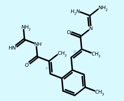 C/C(=C\c1cc(C)ccc1/C=C(\C)C(=O)NC(=N)N)C(=O)N=C(N)N